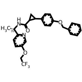 C[C@H](NC(=O)C1CC1c1ccc(OCc2ccccc2)cc1)c1ccc(OCC(F)(F)F)cn1